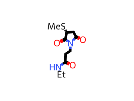 CCNC(=O)CCN1C(=O)CC(SC)C1=O